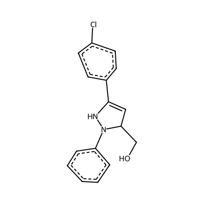 OCC1C=C(c2ccc(Cl)cc2)NN1c1ccccc1